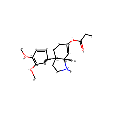 CCC(=O)OC1=C[C@@H]2N(C)CC[C@]2(c2ccc(OC)c(OC)c2)CC1